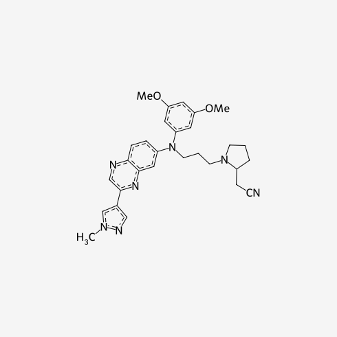 COc1cc(OC)cc(N(CCCN2CCCC2CC#N)c2ccc3ncc(-c4cnn(C)c4)nc3c2)c1